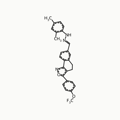 Cc1ccc(N/N=C/c2ccc3c(c2)CCc2c-3noc2-c2ccc(OC(F)(F)F)cc2)c(C)c1